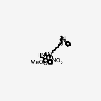 COC(=O)C1=C(C)NC(C)=C(C(=O)OCCCCCCOc2cc(C)nn2-c2ccccc2)C1c1cccc([N+](=O)[O-])c1